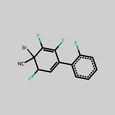 N#CC1(Br)C(F)=C(F)C(c2ccccc2F)=CC1F